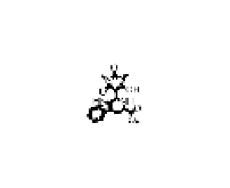 COC(=O)C1Cc2c([nH]c3ccccc23)C(c2c(O)n(C)c(=O)n(C)c2=O)N1